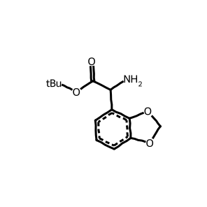 CC(C)(C)OC(=O)C(N)c1cccc2c1OCO2